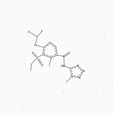 CCS(=O)(=O)c1c(OC(F)F)ccc(C(=O)Nc2nnnn2C)c1C